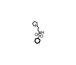 O=S(=O)(NCCN1CCCC1)c1c[c]ccc1